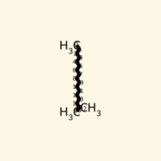 CCCC[CH]CCCCCCCCCCC(C)C